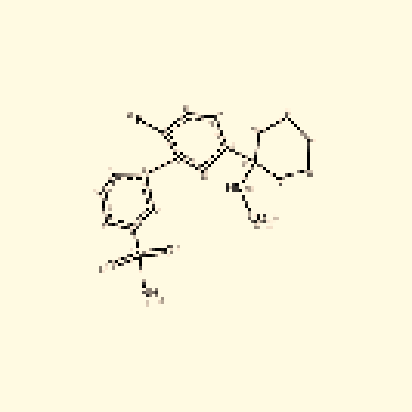 NS(=O)(=O)c1cccc(-c2cc(C3(NC(=O)O)CCCCC3)ccc2F)c1